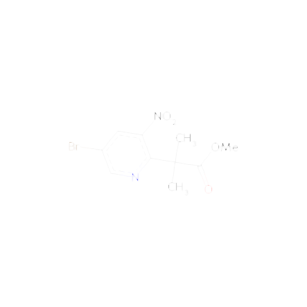 COC(=O)C(C)(C)c1ncc(Br)cc1[N+](=O)[O-]